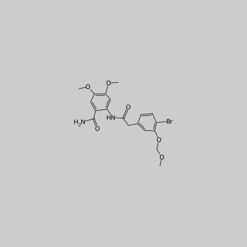 COCOc1cc(CC(=O)Nc2cc(OC)c(OC)cc2C(N)=O)ccc1Br